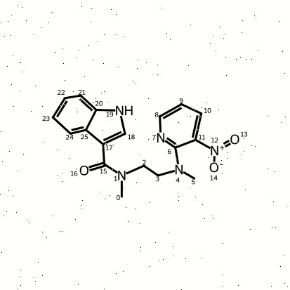 CN(CCN(C)c1ncccc1[N+](=O)[O-])C(=O)c1c[nH]c2ccccc12